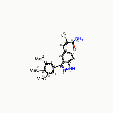 COc1cc(-c2n[nH]c3ccc(/C=C(/C#N)C(N)=O)cc23)cc(OC)c1OC